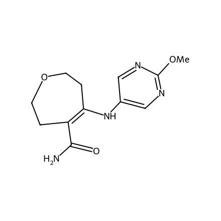 COc1ncc(NC2=C(C(N)=O)CCOCC2)cn1